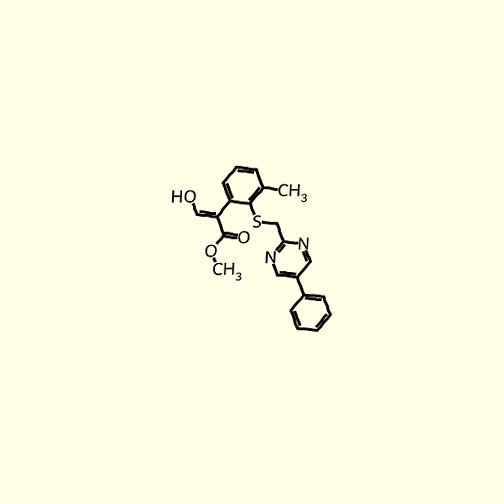 COC(=O)/C(=C/O)c1cccc(C)c1SCc1ncc(-c2ccccc2)cn1